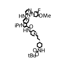 CO[C@H]1CCN(c2nccc(Nc3cc4c(cn3)c(C(=O)NC3CCN(CCC[C@H]5CC[C@H](NC(=O)OC(C)(C)C)CC5)CC3)cn4C(C)C)n2)C[C@H]1F